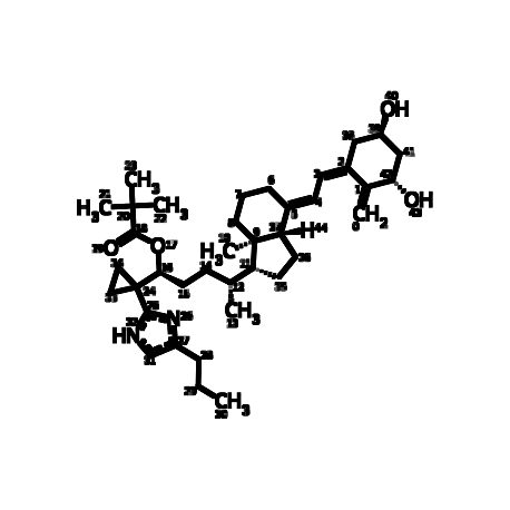 C=C1/C(=C\C=C2/CCC[C@]3(C)[C@@H]([C@H](C)CC[C@H](OC(=O)C(C)(C)C)C4(c5nc(CCC)c[nH]5)CC4)CC[C@@H]23)C[C@@H](O)C[C@@H]1O